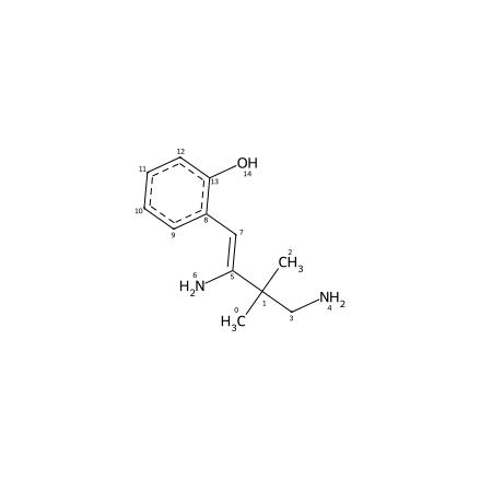 CC(C)(CN)C(N)=Cc1ccccc1O